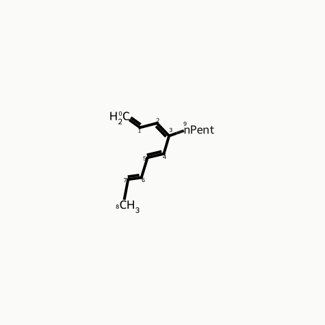 C=CC=C(C=CC=CC)CCCCC